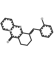 O=c1c2c(nc3ccccn13)C(=Cc1ccccc1Cl)CCC2